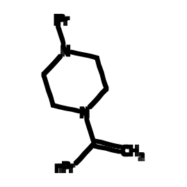 C=C(CCC)N1CCN(C(C)C)CC1